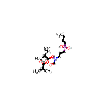 CCCCP(=O)([O-])CCCN(C=O)OC(OC(=O)C(C)C)C(C)C.[Na+]